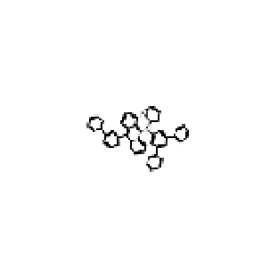 c1ccc(-c2cccc(-c3c4ccccc4c(N(c4cc(-c5ccccc5)cc(-c5ccccc5)c4)c4ccccn4)c4ccccc34)c2)cc1